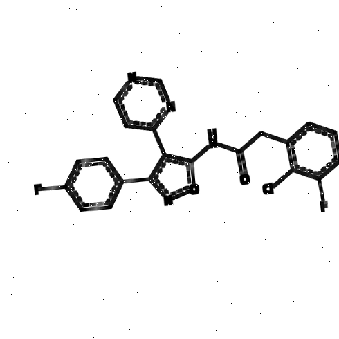 O=C(Cc1cccc(F)c1Cl)Nc1onc(-c2ccc(F)cc2)c1-c1ccncn1